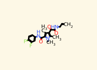 C=CCNC(=O)C(=O)c1c(C)c(C(=O)Nc2ccc(F)c(F)c2)n(C)c1C